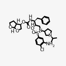 CC(C)N1CCC(N(C[C@@H](O)[C@H](Cc2ccccc2)NC(=O)O[C@H]2CO[C@H]3OCC[C@H]32)[S+]([O-])c2ccc(Cl)c(N)c2)C1